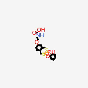 O=C(O)NCCOc1ccc2c(c1)CS[P](O)(Oc1ccccc1)SC2